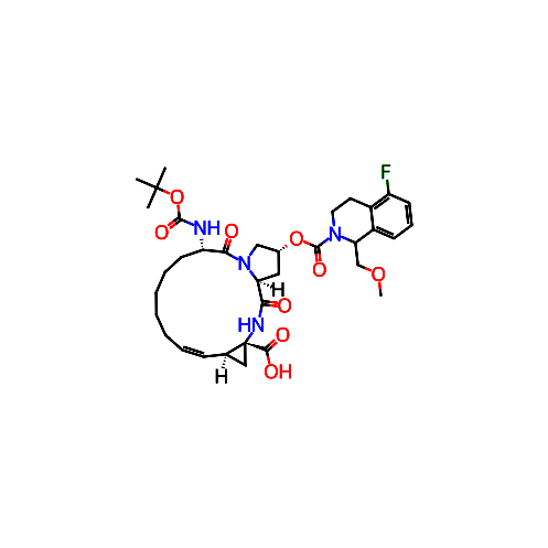 COCC1c2cccc(F)c2CCN1C(=O)O[C@@H]1C[C@H]2C(=O)N[C@]3(C(=O)O)C[C@H]3C=CCCCCC[C@H](NC(=O)OC(C)(C)C)C(=O)N2C1